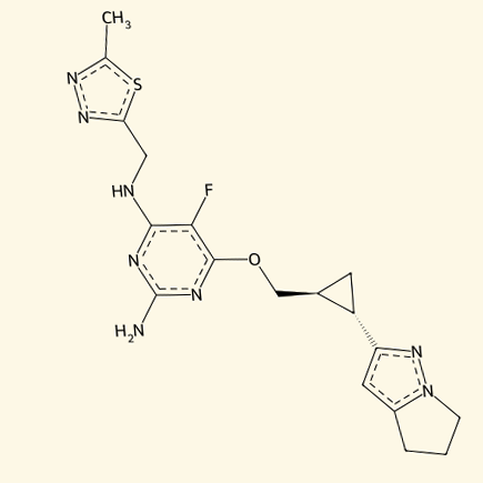 Cc1nnc(CNc2nc(N)nc(OC[C@H]3C[C@@H]3c3cc4n(n3)CCC4)c2F)s1